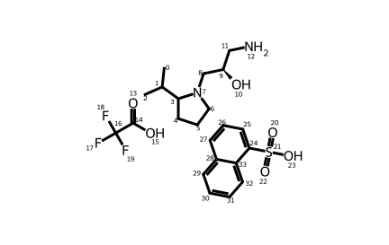 CC(C)C1CCCN1C[C@H](O)CN.O=C(O)C(F)(F)F.O=S(=O)(O)c1cccc2ccccc12